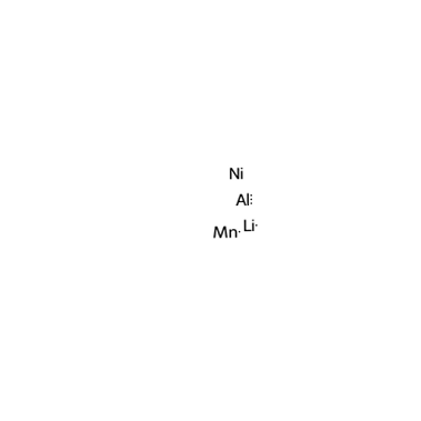 [Al].[Li].[Mn].[Ni]